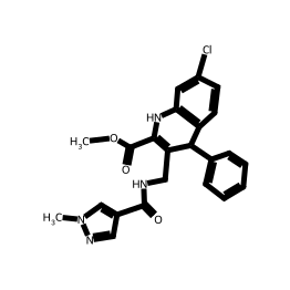 COC(=O)C1=C(CNC(=O)c2cnn(C)c2)C(c2ccccc2)c2ccc(Cl)cc2N1